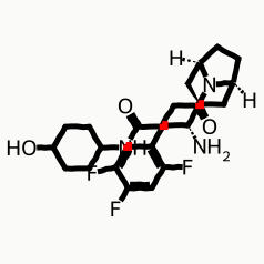 N[C@H](Cc1cc(F)c(F)cc1F)[C@H]1C[C@H]2CC[C@@H](C1)N2C(=O)CCC(=O)NC1CCC(O)CC1